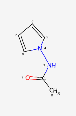 CC(=O)Nn1cccc1